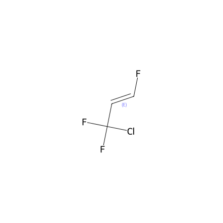 F/C=C/C(F)(F)Cl